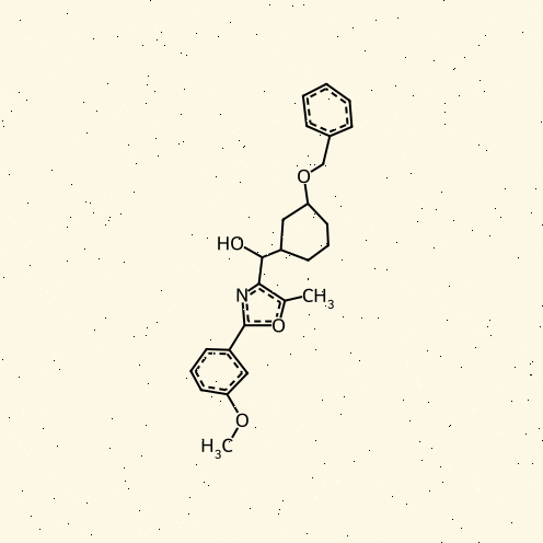 COc1cccc(-c2nc(C(O)C3CCCC(OCc4ccccc4)C3)c(C)o2)c1